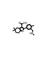 CNCc1cc(-c2sc3c(c2C(=O)O)CC(C)(C)CC3)ccc1C